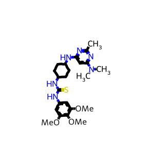 COc1cc(NC(=S)NC2CCC(Nc3cc(N(C)C)nc(C)n3)CC2)cc(OC)c1OC